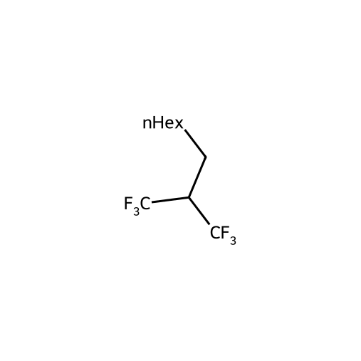 C[CH]CCCCCC(C(F)(F)F)C(F)(F)F